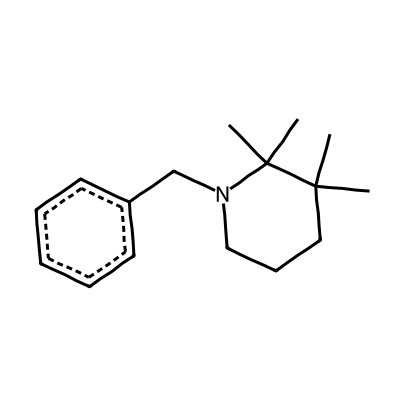 CC1(C)CCCN(Cc2ccccc2)C1(C)C